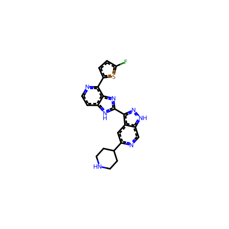 Fc1ccc(-c2nccc3[nH]c(-c4n[nH]c5cnc(C6CCNCC6)cc45)nc23)s1